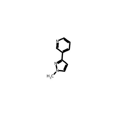 Cn1ccc(-c2cccnc2)n1